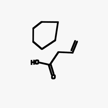 C1CCCCC1.C=CCC(=O)O